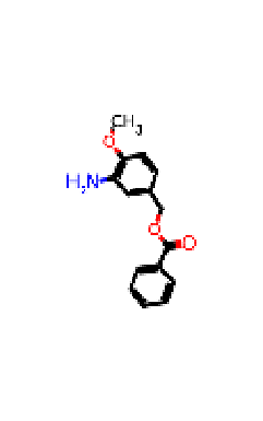 COc1ccc(COC(=O)c2ccccc2)cc1N